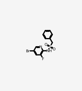 O=S(=O)(Cc1ccccc1)Nc1ncc(Br)cc1F